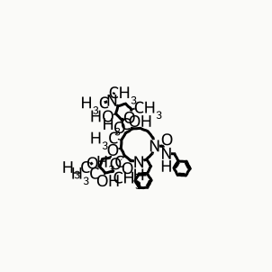 CO[C@]1(C)C[C@H](O[C@H]2[C@H](C)[C@@H](O[C@@H]3O[C@H](C)C[C@H](N(C)C)[C@H]3O)[C@](C)(O)CCCN(C(=O)NCc3ccccc3)CC(Cc3ccccc3)NC(=O)[C@@H]2C)O[C@@H](C)[C@@H]1O